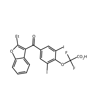 CCc1oc2ccccc2c1C(=O)c1cc(I)c(OC(F)(F)C(=O)O)c(I)c1